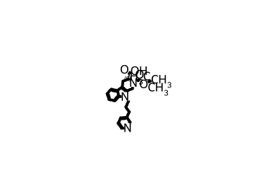 CC(C)(C)OC(=O)N1Cc2c(c3ccccc3n2CCCc2cccnc2)C[C@H]1C(=O)O